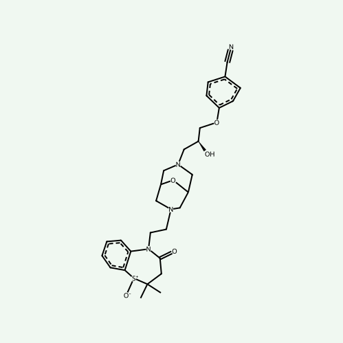 CC1(C)CC(=O)N(CCN2CC3CN(C[C@H](O)COc4ccc(C#N)cc4)CC(C2)O3)c2ccccc2[S+]1[O-]